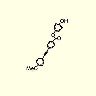 COc1ccc(C#Cc2ccc(C(=O)Oc3ccc(O)cc3)cc2)cc1